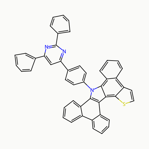 c1ccc(-c2cc(-c3ccc(-n4c5c6ccccc6c6ccccc6c5c5c6sccc6c6ccccc6c54)cc3)nc(-c3ccccc3)n2)cc1